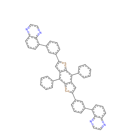 c1ccc(-c2c3cc(-c4cccc(-c5cccc6nccnc56)c4)sc3c(-c3ccccc3)c3cc(-c4cccc(-c5cccc6nccnc56)c4)sc23)cc1